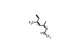 C=C/C(=C\C(C)=N/[C@H](C)C(F)(F)F)C(F)(F)F